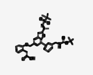 CC(=NS(=O)(=O)C(C)(C)C)c1cc2cc(COc3ccccc3CC(=O)O)cc(-c3cccc(CNC(=O)OC(C)(C)C)c3)c2o1